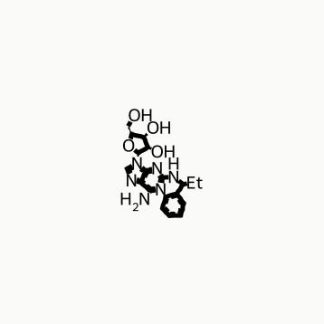 CCC(Nc1nc(N)c2ncn([C@@H]3O[C@H](CO)[C@@H](O)[C@H]3O)c2n1)c1ccccc1